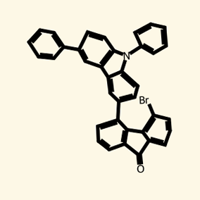 O=C1c2cccc(Br)c2-c2c1cccc2-c1ccc2c(c1)c1cc(-c3ccccc3)ccc1n2-c1ccccc1